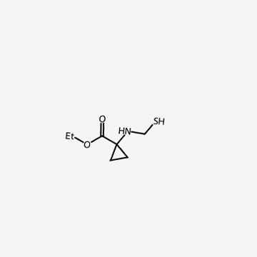 CCOC(=O)C1(NCS)CC1